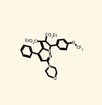 CCOC(=O)C1=C2C(c3ccccc3)=CC(N3CCOCC3)=NN2C(c2ccc(OC(F)(F)F)cc2)C1C(=O)OCC